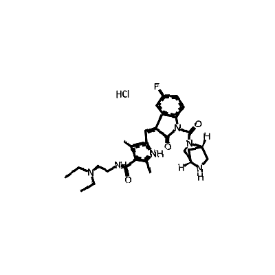 CCN(CC)CCNC(=O)c1c(C)[nH]c(/C=C2\C(=O)N(C(=O)N3C[C@@H]4C[C@H]3CN4)c3ccc(F)cc32)c1C.Cl